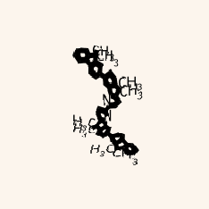 CC1(C)c2ccccc2-c2ccc(-c3ccc4c(c3)-c3nc(-c5ccc6c(n5)-c5cc(-c7ccc8c(c7)C(C)(C)c7ccccc7-8)ccc5C6(C)C)ccc3C4(C)C)cc21